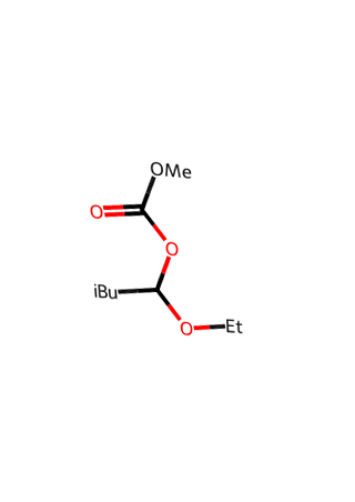 CCOC(OC(=O)OC)C(C)CC